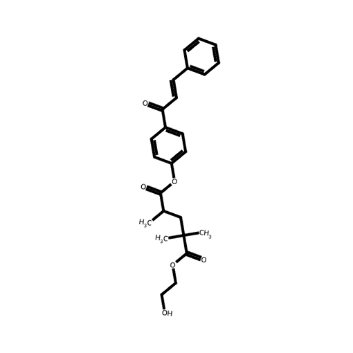 CC(CC(C)(C)C(=O)OCCO)C(=O)Oc1ccc(C(=O)C=Cc2ccccc2)cc1